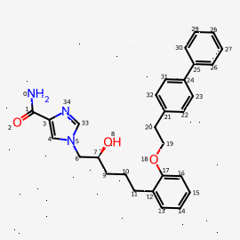 NC(=O)c1cn(C[C@@H](O)CCCc2ccccc2OCCc2ccc(-c3ccccc3)cc2)cn1